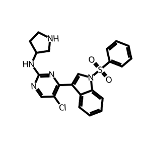 O=S(=O)(c1ccccc1)n1cc(-c2nc(NC3CCNC3)ncc2Cl)c2ccccc21